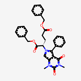 Cn1c(=O)c2c(-c3ccccc3)n([C@@H](CCC(=O)OCc3ccccc3)C(=O)OCc3ccccc3)cc2n(C)c1=O